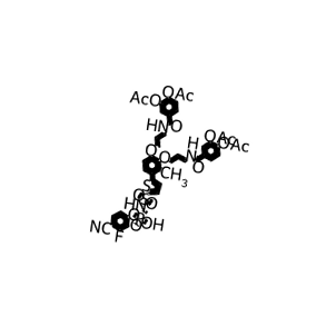 CC(=O)Oc1ccc(C(=O)NCCCOc2ccc(-c3ccc(S(=O)(=O)NCP(=O)(O)Oc4ccc(C#N)c(F)c4)s3)c(C)c2OCCCNC(=O)c2ccc(OC(C)=O)c(OC(C)=O)c2)cc1OC(C)=O